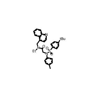 CCN(Cc1ccnc2ccccc12)C(=O)CN(c1ccc(C)cc1)S(=O)(=O)c1ccc(C(C)(C)C)cc1